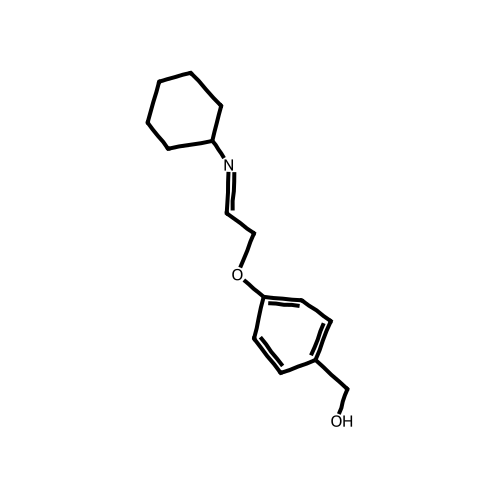 OCc1ccc(OCC=NC2CCCCC2)cc1